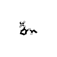 C=CC(=O)Oc1ccccc1OS(C)(=O)=O